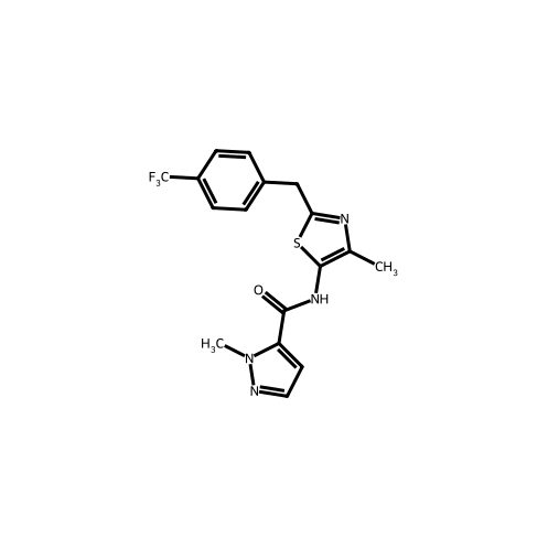 Cc1nc(Cc2ccc(C(F)(F)F)cc2)sc1NC(=O)c1ccnn1C